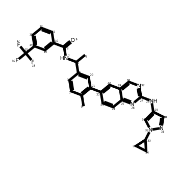 Cc1ccc(C(C)NC(=O)c2cccc(C(F)(F)F)c2)cc1-c1ccc2nc(Nc3cnn(C4CC4)c3)ncc2c1